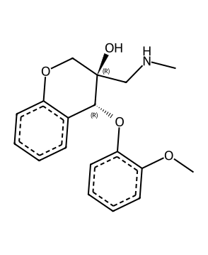 CNC[C@@]1(O)COc2ccccc2[C@H]1Oc1ccccc1OC